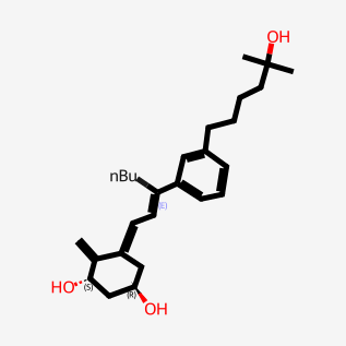 C=C1C(=C/C=C(\CCCC)c2cccc(CCCCC(C)(C)O)c2)C[C@@H](O)C[C@@H]1O